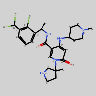 C[C@@H](NC(=O)c1cn(C2(C)CCNC2)c(=O)cc1NC1CCN(C)CC1)c1cccc(C(F)F)c1F